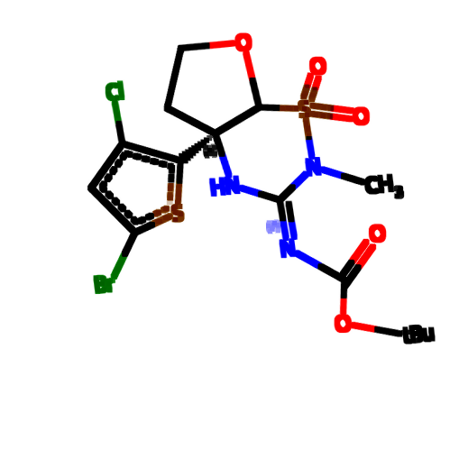 CN1/C(=N\C(=O)OC(C)(C)C)N[C@@]2(c3sc(Br)cc3Cl)CCOC2S1(=O)=O